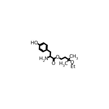 CCOC(C)(C)CCOC(=O)C(N)Cc1ccc(O)cc1